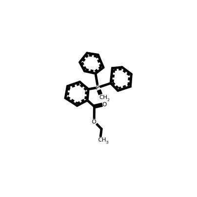 C=P(c1ccccc1)(c1ccccc1)c1ccccc1C(=O)OCC